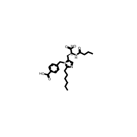 CCCCCCc1ncc(C[C@H](NC(=O)CCC)C(=O)O)n1Cc1ccc(C(=O)O)cc1